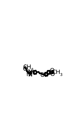 COCCn1nnc(N2CCC(CCCOc3ccc4c(c3)CCN(S(C)(=O)=O)C4)CC2)n1